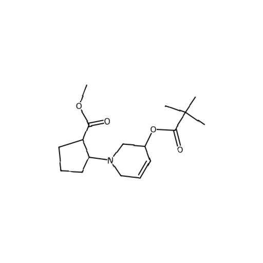 COC(=O)C1CCCC1N1CC=CC(OC(=O)C(C)(C)C)C1